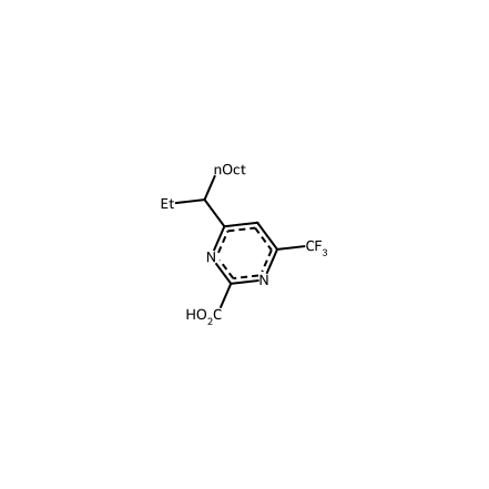 CCCCCCCCC(CC)c1cc(C(F)(F)F)nc(C(=O)O)n1